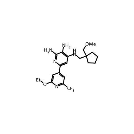 CCOc1cc(-c2cc(NCC3(COC)CCCC3)c(N)c(N)n2)cc(C(F)(F)F)n1